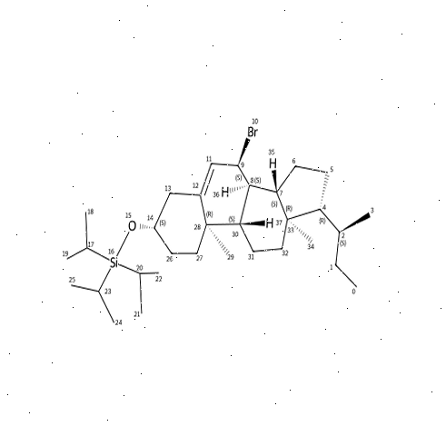 CC[C@H](C)[C@H]1CC[C@H]2[C@@H]3[C@H](Br)C=C4C[C@@H](O[Si](C(C)C)(C(C)C)C(C)C)CC[C@]4(C)[C@H]3CC[C@]12C